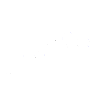 COC1CCC(NC/C=C/C(=O)Nc2c(F)cc(C(=O)c3ccc4c(-c5cc6nc(C)n(C)c6cc5C(F)(F)F)nccn34)cc2F)CC1